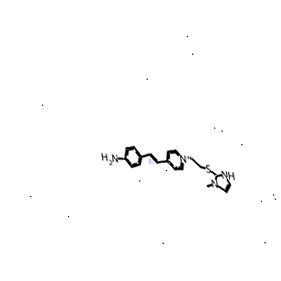 CN1C=CNC1SCC[n+]1ccc(/C=C/c2ccc(N)cc2)cc1